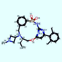 Cc1cccc(C)c1-c1cc2nc(n1)NS(=O)(=O)c1cccc(c1)CN(C1CN(C(C)C)C1)[C@H](CC(C)C)CO2